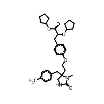 CN1C(=O)NCC1(CCOc1ccc(CC(OC2CCCC2)C(=O)OC2CCCC2)cc1)Cc1ccc(C(F)(F)F)cc1